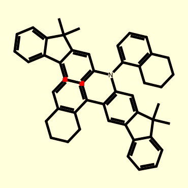 CC1(C)c2ccccc2-c2ccc(N(c3cc4c(cc3-c3cccc5c3CCCC5)-c3ccccc3C4(C)C)c3cccc4c3CCCC4)cc21